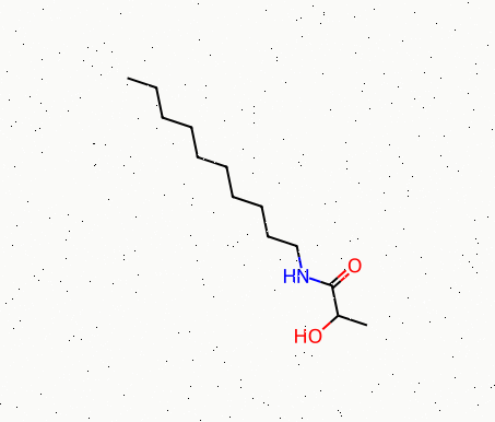 CCCCCCCCCCNC(=O)C(C)O